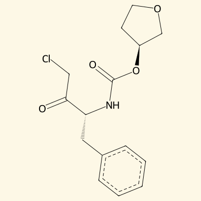 O=C(N[C@H](Cc1ccccc1)C(=O)CCl)O[C@H]1CCOC1